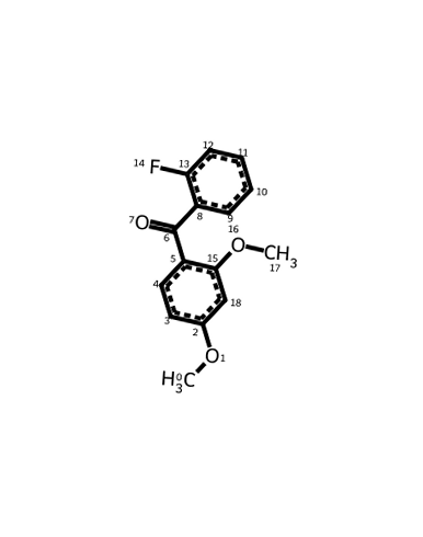 COc1ccc(C(=O)c2ccccc2F)c(OC)c1